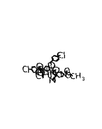 CCOC(=O)N1CCC(C#N)(NC(=O)[C@H]2C[C@H](S(=O)(=O)c3ccc(Cl)cc3Cl)C[C@@H]2OCc2ccc(Cl)cc2)CC1